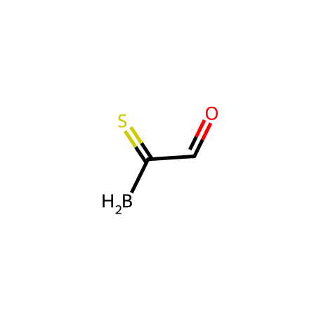 BC(=S)C=O